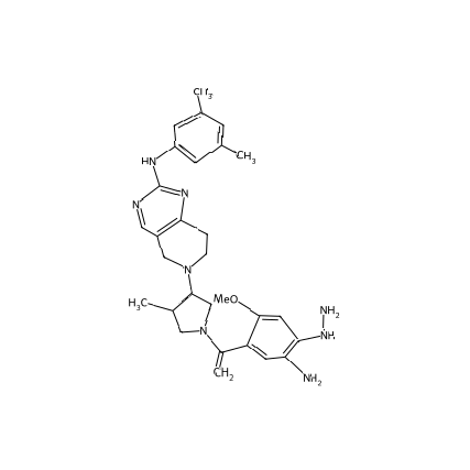 C=C(c1cc(N)c(NN)cc1OC)N1CC(C)C(N2CCc3nc(Nc4cc(C)cc(C)c4)ncc3C2)C1